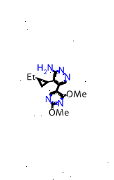 CC[C@H]1C[C@@H]1c1c(-c2cnc(OC)nc2OC)cnnc1N